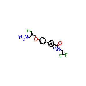 NC/C(=C\F)COc1ccc(C23CCC(C(=O)NCC(F)F)(CC2)CC3)cc1